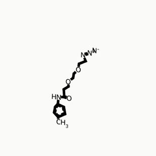 Cc1ccc(NC(=O)CCOCCOCCN=[N+]=[N-])cc1